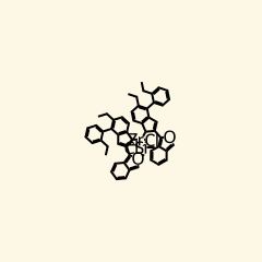 CCc1ccccc1-c1c(CC)ccc2c1C=C(c1occ3ccccc13)[CH]2[Zr]([Cl])([Cl])([CH]1C(c2occ3ccccc23)=Cc2c1ccc(CC)c2-c1ccccc1CC)=[Si](C)C